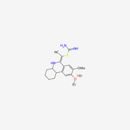 Br.CCOc1cc2c(cc1OC)C(=C(C#N)SC(=N)N)NC1CCCCC21